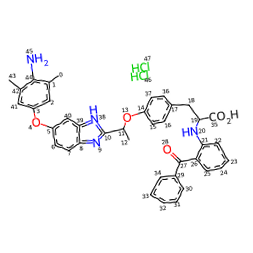 Cc1cc(Oc2ccc3nc(C(C)Oc4ccc(CC(Nc5ccccc5C(=O)c5ccccc5)C(=O)O)cc4)[nH]c3c2)cc(C)c1N.Cl.Cl